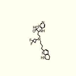 O=C(O)C(CCN(CCCCc1ccc2c(n1)NCCC2)C1CC(F)(F)C1)Nc1ccncn1